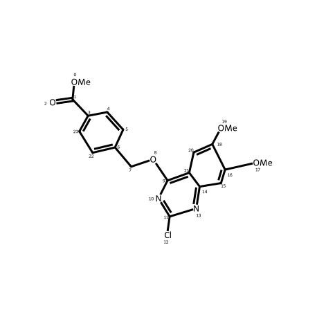 COC(=O)c1ccc(COc2nc(Cl)nc3cc(OC)c(OC)cc23)cc1